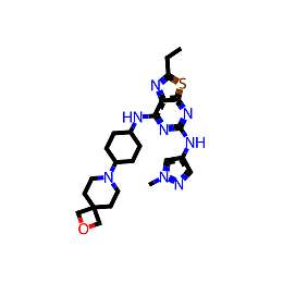 CCc1nc2c(NC3CCC(N4CCC5(CC4)COC5)CC3)nc(Nc3cnn(C)c3)nc2s1